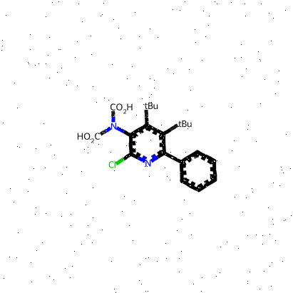 CC(C)(C)c1c(-c2ccccc2)nc(Cl)c(N(C(=O)O)C(=O)O)c1C(C)(C)C